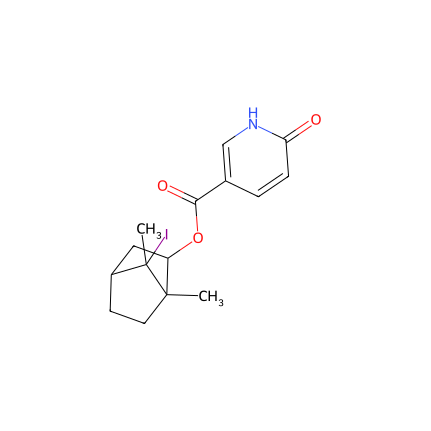 CC1(I)C2CCC1(C)C(OC(=O)c1ccc(=O)[nH]c1)C2